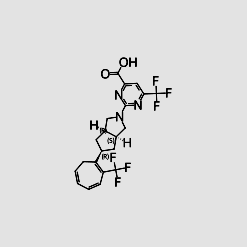 O=C(O)c1cc(C(F)(F)F)nc(N2C[C@H]3C[C@@H](C4=C(C(F)(F)F)C=CC=CC4)C[C@H]3C2)n1